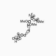 CNC(=O)N1CCc2c(-c3cc(OC)c(CN4CCC(CN5CCC6(CC5)CC(Oc5ccc7c(c5)C(=O)N(C5CCC(=O)NC5=O)C7=O)C6)CC4)c(OC)c3)cn(C(F)F)c(=O)c2C1